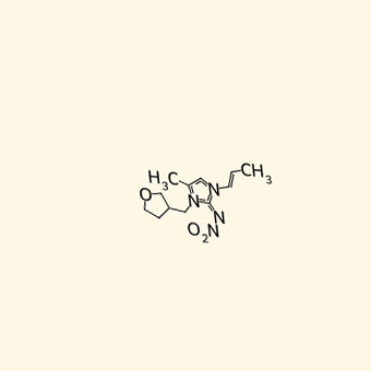 CC=Cn1cc(C)n(CC2CCOC2)c1=N[N+](=O)[O-]